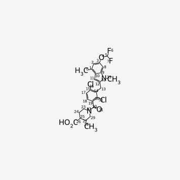 Cc1cc(OC(F)F)cc2c1cc(Cc1c(Cl)ccc(C(=O)N3CCC(C(=O)O)C(C)C3)c1Cl)n2C